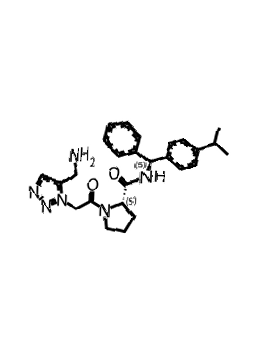 CC(C)c1ccc([C@@H](NC(=O)[C@@H]2CCCN2C(=O)Cn2nncc2CN)c2ccccc2)cc1